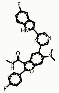 CNC(=O)c1c(-c2ccc(F)cc2)oc2cc(N(C)C)c(-c3cncc(-c4cc5cc(F)ccc5[nH]4)n3)cc12